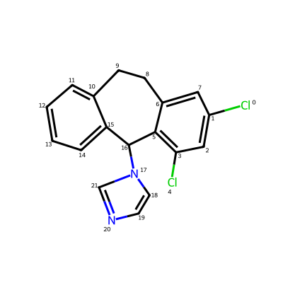 Clc1cc(Cl)c2c(c1)CCc1ccccc1C2n1ccnc1